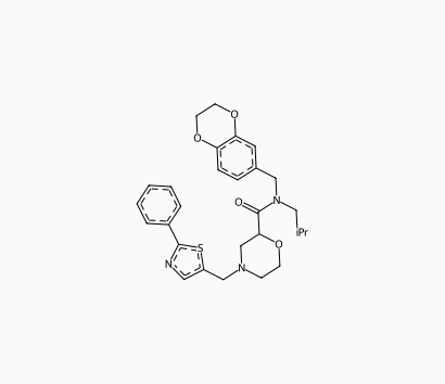 CC(C)CN(Cc1ccc2c(c1)OCCO2)C(=O)C1CN(Cc2cnc(-c3ccccc3)s2)CCO1